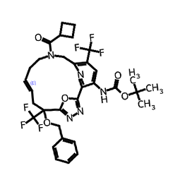 CC(C)(C)OC(=O)Nc1cc(C(F)(F)F)c2nc1-c1nnc(o1)C(OCc1ccccc1)(C(F)(F)F)C/C=C/CCN(C(=O)C1CCC1)C2